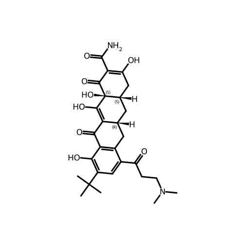 CN(C)CCC(=O)c1cc(C(C)(C)C)c(O)c2c1C[C@H]1C[C@H]3CC(O)=C(C(N)=O)C(=O)[C@@]3(O)C(O)=C1C2=O